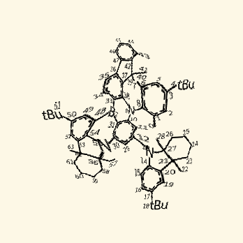 Cc1cc(C(C)(C)C)cc(C)c1N1c2cc(N3c4ccc(C(C)(C)C)cc4C4(C)CCCCC34C)cc3c2B(c2ccc4c(c21)C(C)(C)c1ccccc1-4)c1cc(C(C)(C)C)cc2c1N3C1(C)CCCCC21C